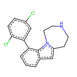 Clc1ccc(Cl)c(-c2cccc3cc4n(c23)CCNCC4)c1